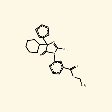 CCOC(=O)c1cccc(N2C(=O)C(c3ccccc3)(C3CCCCC3)N=C2N)c1